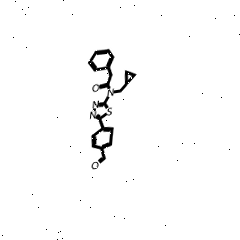 O=Cc1ccc(-c2nnc(N(CC3CC3)C(=O)Cc3ccccc3)s2)cc1